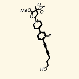 COC(=O)C(C)(CCN1CC=C(c2ccc(C#CC#CCCCO)c(F)c2)CC1)S(C)(=O)=O